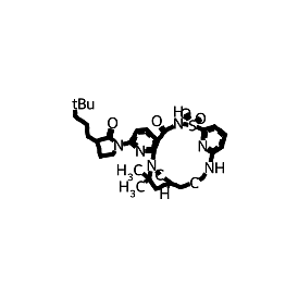 CC(C)(C)CCCC1CCN(c2ccc3c(n2)N2C[C@@H](CCCNc4cccc(n4)S(=O)(=O)NC3=O)CC2(C)C)C1=O